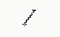 C=C(C)COCCCCCCCC[Si](C)(C)I